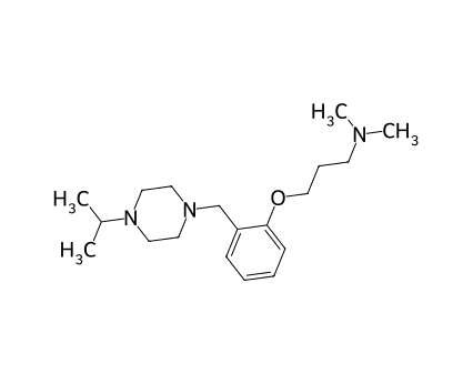 CC(C)N1CCN(Cc2ccccc2OCCCN(C)C)CC1